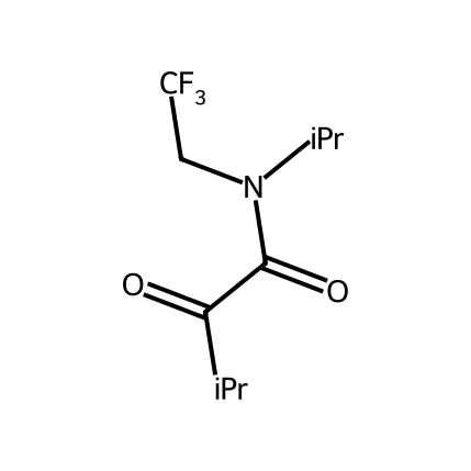 CC(C)C(=O)C(=O)N(CC(F)(F)F)C(C)C